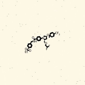 CCS(=O)(=O)c1ccc(CNC(=O)c2ccc(N3C[C@H](OC4(C)C=CC(C(F)(F)F)=CC4)C[C@H]3COCC(F)F)cc2)cc1